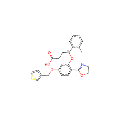 Cc1ccccc1[C@H](CCC(=O)O)Oc1cc(OCc2ccsc2)ccc1C1=NCCO1